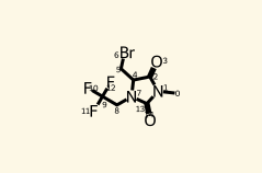 CN1C(=O)C(CBr)N(CC(F)(F)F)C1=O